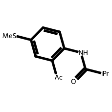 CSc1ccc(NC(=O)C(C)C)c(C(C)=O)c1